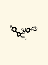 Nc1ccc(-c2ccc(F)nc2)cc1NC(=O)c1ccc(N2CCOCC2)cn1